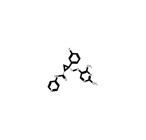 Cc1ncc(OC[C@@]2(c3cccc(F)c3)C[C@H]2C(=O)Nc2ccncc2)c(C)n1